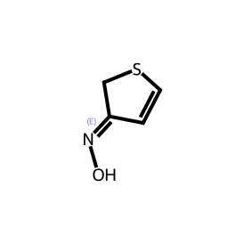 O/N=C1\C=CSC1